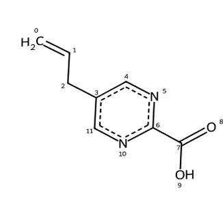 C=CCc1cnc(C(=O)O)nc1